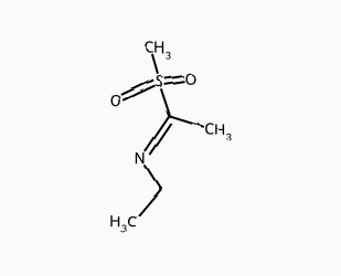 CC/N=C(\C)S(C)(=O)=O